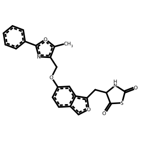 Cc1oc(-c2ccccc2)nc1COc1ccc2coc(CC3NC(=O)SC3=O)c2c1